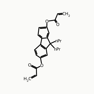 C=CC(=O)Oc1ccc2c(c1)C(CCC)(CCC)c1cc(OC(=O)C=C)ccc1-2